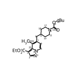 CCOC(=O)c1cnn2ccc(CC3CCN(C(=O)OC(C)(C)C)CC3)c(C)c12